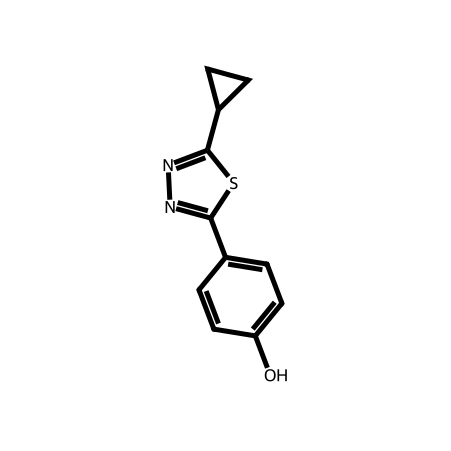 Oc1ccc(-c2nnc(C3CC3)s2)cc1